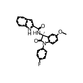 COc1ccc2c(c1)[C@](C)(NC(=O)c1cc3ccccc3[nH]1)C(=O)N2c1ccc(F)cc1